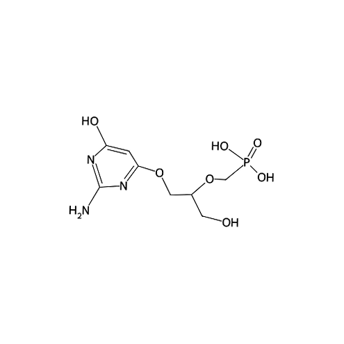 Nc1nc(O)cc(OCC(CO)OCP(=O)(O)O)n1